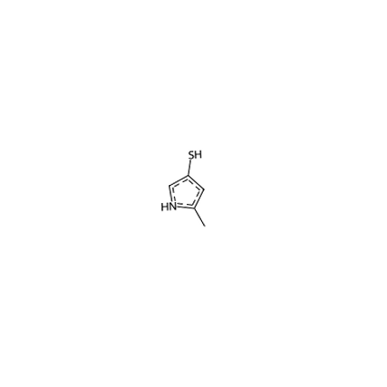 Cc1cc(S)c[nH]1